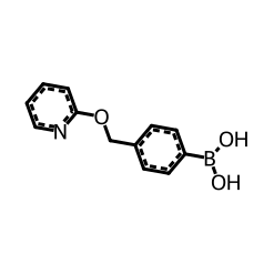 OB(O)c1ccc(COc2ccccn2)cc1